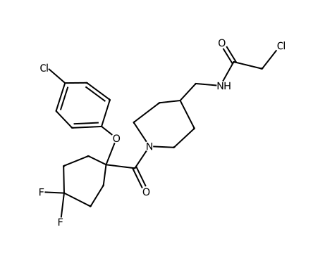 O=C(CCl)NCC1CCN(C(=O)C2(Oc3ccc(Cl)cc3)CCC(F)(F)CC2)CC1